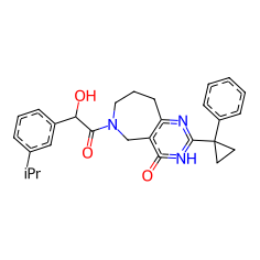 CC(C)c1cccc(C(O)C(=O)N2CCCc3nc(C4(c5ccccc5)CC4)[nH]c(=O)c3C2)c1